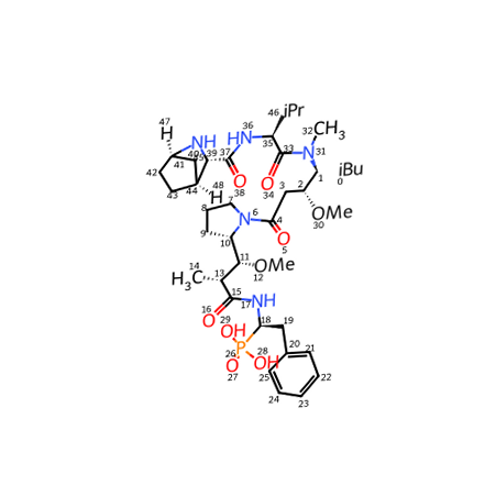 CC[C@H](C)[C@@H]([C@@H](CC(=O)N1CCC[C@H]1[C@H](OC)[C@@H](C)C(=O)N[C@@H](Cc1ccccc1)P(=O)(O)O)OC)N(C)C(=O)[C@@H](NC(=O)[C@H]1N[C@@H]2CC[C@H]1C2)C(C)C